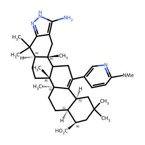 CNc1ccc(C2=C3[C@H]4CC(C)(C)C[C@@H](C(=O)O)[C@H]4CC[C@@]3(C)[C@]3(C)CC[C@H]4C(C)(C)c5n[nH]c(N)c5C[C@]4(C)C3C2)cn1